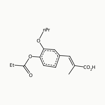 CCCOc1cc(C=C(C)C(=O)O)ccc1OC(=O)CC